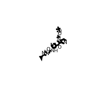 CC(C)(CO[Si](C)(C)C(C)(C)C)n1cc(C(=O)c2cncc(NC(=O)Cn3cc(C4CC4)nn3)c2)c2cnccc21